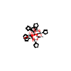 CC(C)[Si]12O[Si]3(C4CCCC4)O[Si]4(C5CCCC5)O[Si](C5CCCC5)(O1)O[Si]1(C5CCCC5)O[Si](C5CCCC5)(O2)O[Si](C2CCCC2)(O3)O[Si](C2CCCC2)(O4)O1